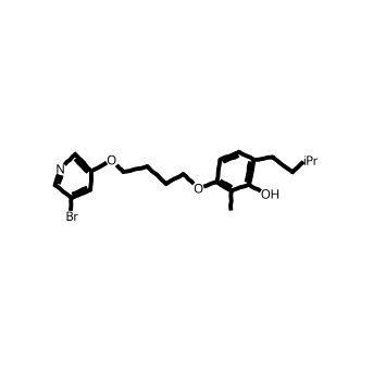 Cc1c(OCCCCOc2cncc(Br)c2)ccc(CCC(C)C)c1O